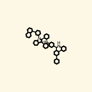 c1ccc(-c2ccc3c(c2)-c2ccccc2NC3c2ccc(Nc3ccccc3-c3c(-c4ccccc4)c4ccccc4n3-c3cccc(-c4cccc5ccccc45)c3)cc2)cc1